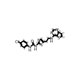 O=C(Nc1ccc(Cl)cc1)Nc1ncc(CCNc2ncnc3ccsc23)s1